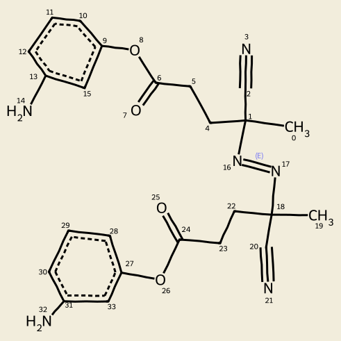 CC(C#N)(CCC(=O)Oc1cccc(N)c1)/N=N/C(C)(C#N)CCC(=O)Oc1cccc(N)c1